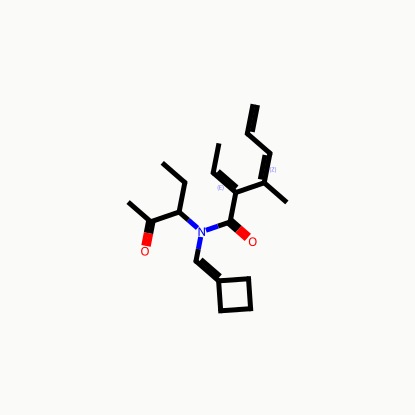 C=C/C=C(C)\C(=C/C)C(=O)N(C=C1CCC1)C(CC)C(C)=O